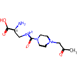 CC(=O)CN1CCN(C(=O)NC[C@H](N)C(=O)O)CC1